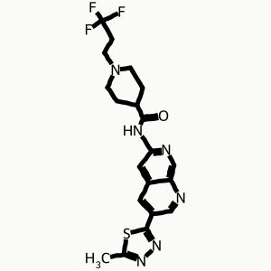 Cc1nnc(-c2cnc3cnc(NC(=O)C4CCN(CCC(F)(F)F)CC4)cc3c2)s1